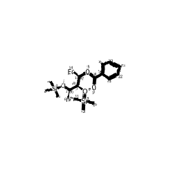 CC[CH][C@@H](O[Si](C)(C)C)[C@H](O[Si](C)(C)C)[C@@H](CC)OC(=O)c1ccccc1